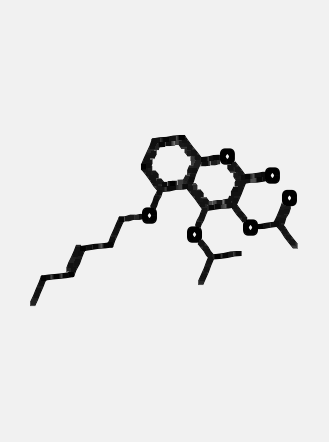 CC/C=C/CCOc1cccc2oc(=O)c(OC(C)=O)c(OC(C)C)c12